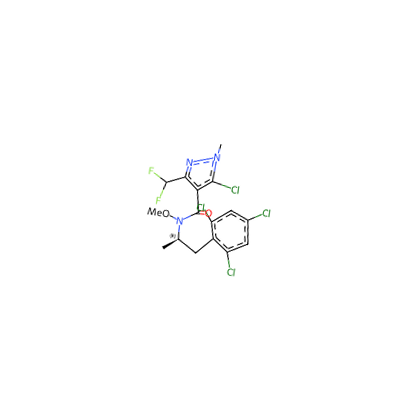 CON(C(=O)c1c(C(F)F)nn(C)c1Cl)[C@H](C)Cc1c(Cl)cc(Cl)cc1Cl